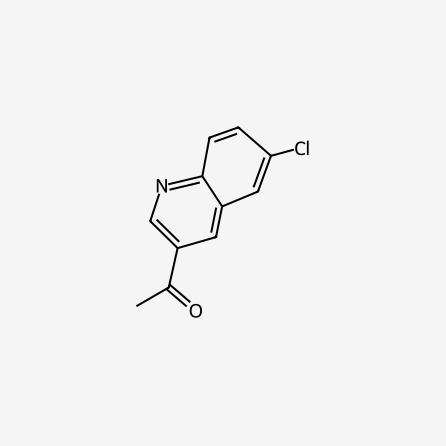 CC(=O)c1cnc2ccc(Cl)cc2c1